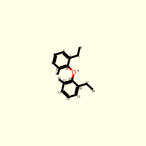 CCc1cccc(C)c1Oc1c(C)cccc1CC